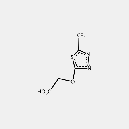 O=C(O)COc1nnc(C(F)(F)F)s1